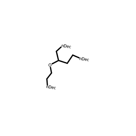 CCCCCCCCCCCCOC(CCCCCCCCCCC)CCCCCCCCCCCC